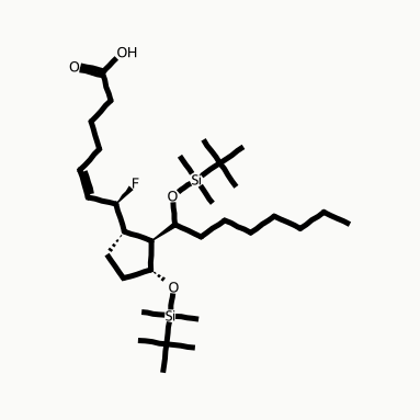 CCCCCCCC(O[Si](C)(C)C(C)(C)C)[C@@H]1[C@@H]([C@H](F)/C=C\CCCC(=O)O)CC[C@H]1O[Si](C)(C)C(C)(C)C